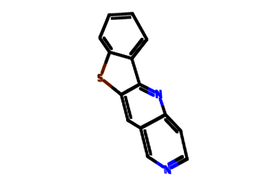 c1ccc2c(c1)sc1cc3cnccc3nc12